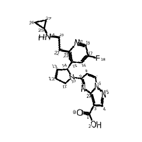 O=C(O)c1cnn2ccc(N3CCC[C@H]3c3cc(F)cnc3CCNC3CC3)nc12